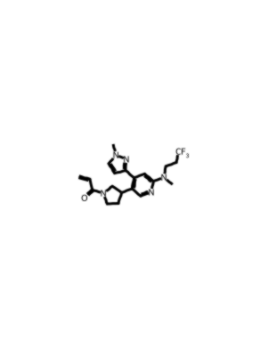 C=CC(=O)N1CCC(c2cnc(N(C)CCC(F)(F)F)cc2-c2ccn(C)n2)C1